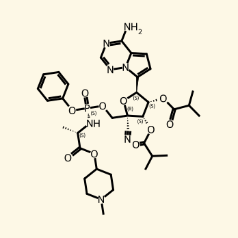 CC(C)C(=O)O[C@H]1[C@H](c2ccc3c(N)ncnn23)O[C@](C#N)(CO[P@@](=O)(N[C@@H](C)C(=O)OC2CCN(C)CC2)Oc2ccccc2)[C@H]1OC(=O)C(C)C